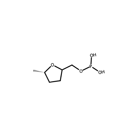 C[C@H]1CCC(COP(O)O)O1